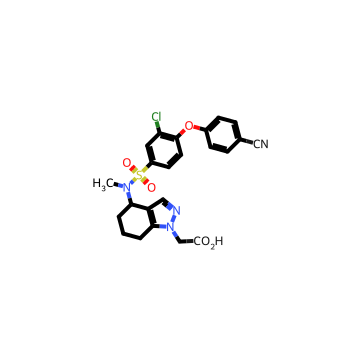 CN(C1CCCc2c1cnn2CC(=O)O)S(=O)(=O)c1ccc(Oc2ccc(C#N)cc2)c(Cl)c1